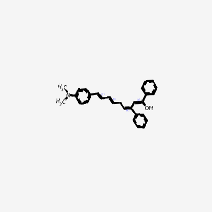 CN(C)c1ccc(/C=C/C=C/C/C=C(\C=C(/O)c2ccccc2)c2ccccc2)cc1